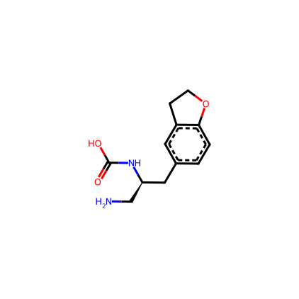 NC[C@H](Cc1ccc2c(c1)CCO2)NC(=O)O